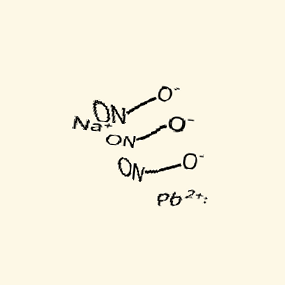 O=N[O-].O=N[O-].O=N[O-].[Na+].[Pb+2]